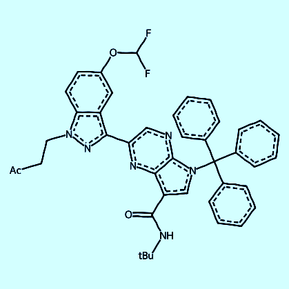 CC(=O)CCn1nc(-c2cnc3c(n2)c(C(=O)NC(C)(C)C)cn3C(c2ccccc2)(c2ccccc2)c2ccccc2)c2cc(OC(F)F)ccc21